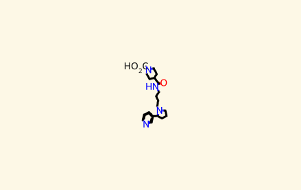 O=C(NCCCCN1CCCC1c1cccnc1)C1CCN(C(=O)O)CC1